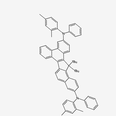 Cc1ccc(N(c2ccccc2)c2ccc3c4c(ccc3c2)-c2c(c3ccc(N(c5ccccc5)c5ccc(C)cc5C)cc3c3ccccc23)C4(C(C)(C)C)C(C)(C)C)c(C)c1